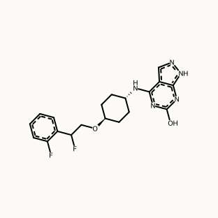 Oc1nc(N[C@H]2CC[C@H](OCC(F)c3ccccc3F)CC2)c2cn[nH]c2n1